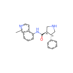 Cc1nccc2c(NC(=O)[C@H]3CNC[C@@H]3c3ccccc3)cccc12